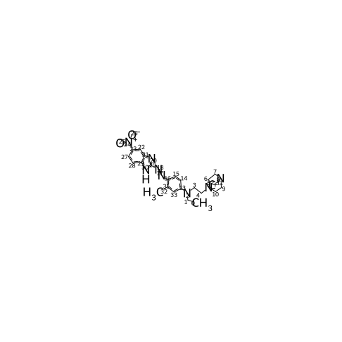 CCN(CC[N+]12CCN(CC1)CC2)c1ccc(/N=N/c2nc3cc([N+](=O)[O-])ccc3[nH]2)c(C)c1